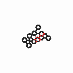 c1ccc(-c2ccccc2-c2c(-c3ccccc3)cccc2N(c2ccc3c(ccc4ccccc43)c2)c2cccc3c2-c2ccccc2C32c3ccccc3-c3ccccc32)cc1